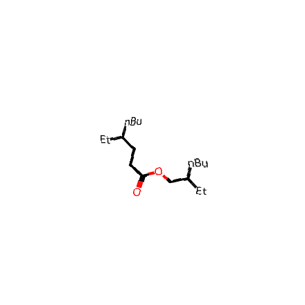 CCCCC(CC)CCC(=O)OCC(CC)CCCC